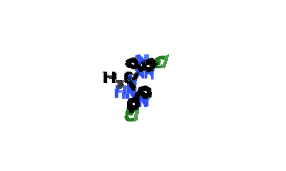 CN(CCNC1=c2ccc(Cl)cc2=NC2CCCCC12)CCNc1c2c(nc3cc(Cl)ccc13)CCCC2